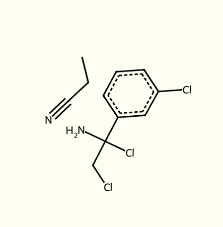 CCC#N.NC(Cl)(CCl)c1cccc(Cl)c1